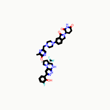 Cc1nc(CN2CCN(c3ccc4c(c3)C(=O)N(C3CCC(=O)NC3=O)C4)CC2)cnc1O[C@H]1CN2c3cc(-c4cccc(F)c4O)nnc3NC[C@]2(C(F)F)C1